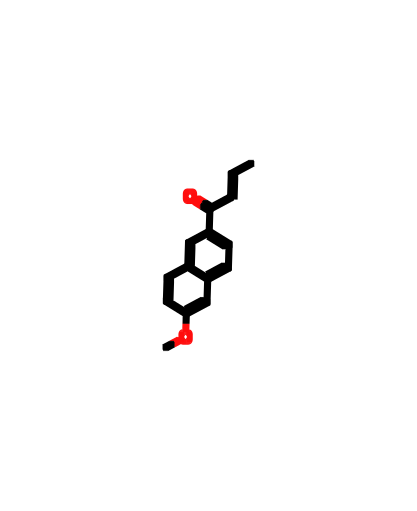 CC=CC(=O)c1ccc2cc(OC)ccc2c1